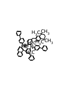 Cc1cc2c(cc1Cc1ccc3c(c1)N(c1ccc(-c4ccccc4)cc1C)c1cc(-c4ccccc4)cc(-c4c(Nc5ccc(-c6ccccc6)cc5)ccc5ccccc45)c1B3)C(C)(C)CCC2(C)C